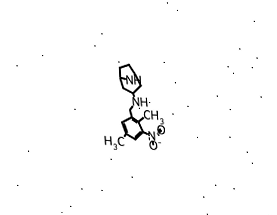 Cc1cc(CNC2CC3CCC(C2)N3)c(C)c([N+](=O)[O-])c1